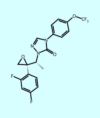 C[C@@H](n1ncn(-c2ccc(OC(F)(F)F)cc2)c1=O)[C@@]1(c2ccc(F)cc2F)CO1